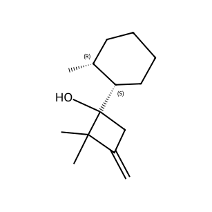 C=C1CC(O)([C@H]2CCCC[C@H]2C)C1(C)C